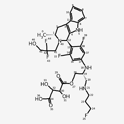 C[C@@H]1Cc2c([nH]c3ccccc23)[C@@H](c2c(F)cc(N[C@H](CNCCCF)COC(=O)C(O)C(O)C(=O)O)cc2F)N1CC(F)(F)CO